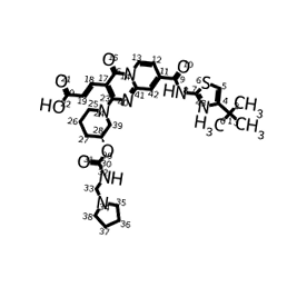 CC(C)(C)c1csc(NC(=O)c2ccn3c(=O)c(/C=C/C(=O)O)c(N4CCC[C@@H](OC(=O)NCN5CCCC5)C4)nc3c2)n1